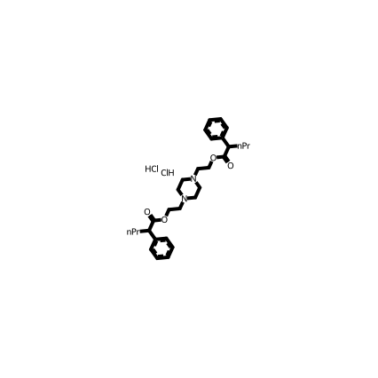 CCCC(C(=O)OCCN1CCN(CCOC(=O)C(CCC)c2ccccc2)CC1)c1ccccc1.Cl.Cl